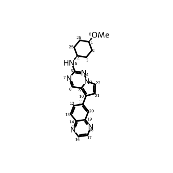 CO[C@H]1CC[C@@H](Nc2ncc3c(-c4ccc5nccnc5c4)ccn3n2)CC1